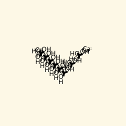 OCC(O)CO.OCC(O)CO.OCC(O)CO.OCC(O)CO.OCC(O)CO.OCC(O)CO.OCC(O)CO.OCC(O)CO.[Ca].[Ca].[Ca]